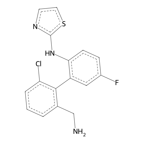 NCc1cccc(Cl)c1-c1cc(F)ccc1Nc1nccs1